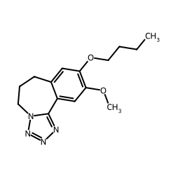 CCCCOc1cc2c(cc1OC)-c1nnnn1CCC2